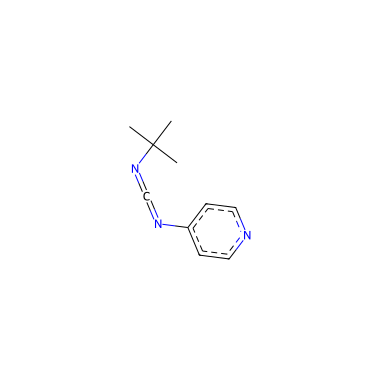 CC(C)(C)N=C=Nc1ccncc1